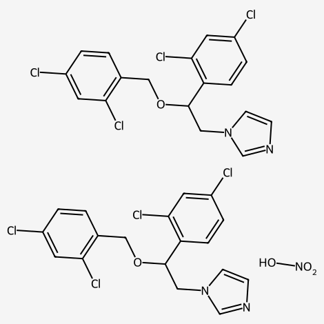 Clc1ccc(COC(Cn2ccnc2)c2ccc(Cl)cc2Cl)c(Cl)c1.Clc1ccc(COC(Cn2ccnc2)c2ccc(Cl)cc2Cl)c(Cl)c1.O=[N+]([O-])O